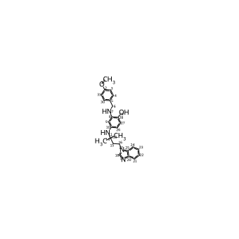 COc1ccc(CNc2cc(NC(C)(C)CCn3cnc4ccccc43)ccc2O)cc1